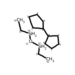 C1CCC(C2CCCC2)C1.CC[SiH2]O[SiH2]CC